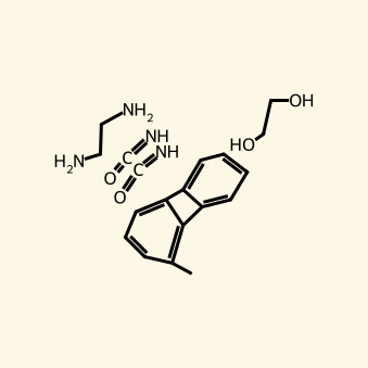 Cc1cccc2c1-c1ccccc1-2.N=C=O.N=C=O.NCCN.OCCO